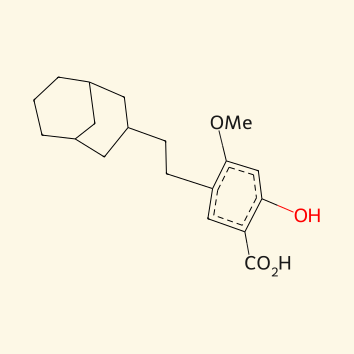 COc1cc(O)c(C(=O)O)cc1CCC1CC2CCCC(C2)C1